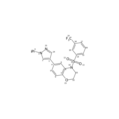 CC(C)n1cc(-c2ccc3c(c2)N(S(=O)(=O)c2cccc(C(F)(F)F)c2)CCO3)cn1